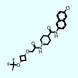 O=C(CO[C@H]1C[C@@H](OC(F)(F)F)C1)NN1CCC(C(=O)Nc2ccc3cc(Cl)ccc3c2)CC1